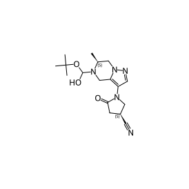 C[C@H]1Cn2ncc(N3C[C@@H](C#N)CC3=O)c2CN1C(O)OC(C)(C)C